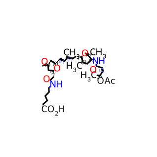 CC(=O)O[C@@H](C)/C=C\C(=O)N[C@@H]1C[C@H](C)[C@H](C/C=C(C)/C=C/[C@@H]2C[C@]3(CO3)C[C@@H](CC(=O)NCCCCCC(=O)O)O2)O[C@@H]1C